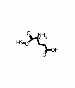 N[C@H](CCC(=O)O)C(=O)OS